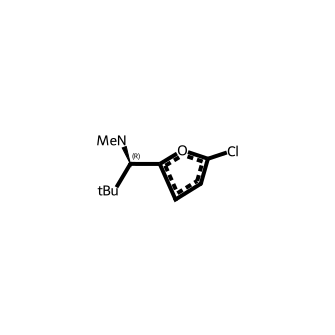 CN[C@@H](c1ccc(Cl)o1)C(C)(C)C